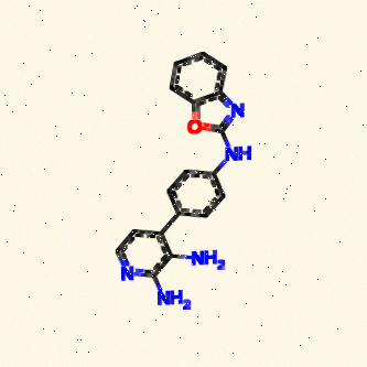 Nc1nccc(-c2ccc(Nc3nc4ccccc4o3)cc2)c1N